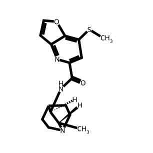 CSc1cc(C(=O)N[C@@H]2C3CCN(CC3)[C@H]2C)nc2ccoc12